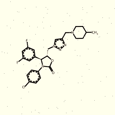 CC1CCN(Cc2cn(C[C@@H]3OC(=O)N(c4ccc(Cl)cc4)[C@H]3c3cc(F)cc(F)c3)nn2)CC1